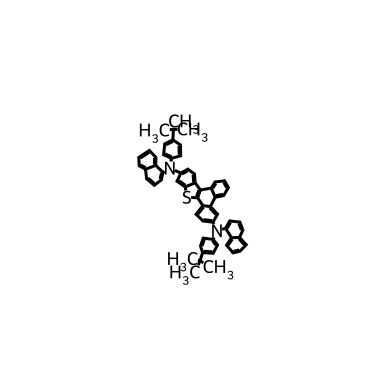 CC(C)(C)c1ccc(N(c2ccc3c(c2)sc2c4ccc(N(c5ccc(C(C)(C)C)cc5)c5cccc6ccccc56)cc4c4ccccc4c32)c2cccc3ccccc23)cc1